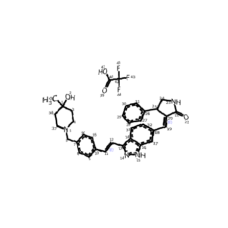 CC1(O)CCN(Cc2ccc(/C=C/c3n[nH]c4cc(/C=C5/C(=O)NCC5c5ccccc5)ccc34)cc2)CC1.O=C(O)C(F)(F)F